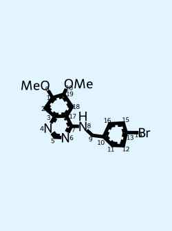 COc1cc2ncnc(NCc3ccc(Br)cc3)c2cc1OC